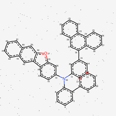 c1ccc(-c2ccccc2N(c2cccc(-c3cc4ccccc4c4ccccc34)c2)c2ccc3c(c2)oc2cc4ccccc4cc23)cc1